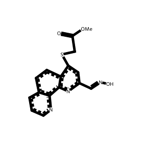 COC(=O)CSc1cc(/C=N/O)nc2c1ccc1cccnc12